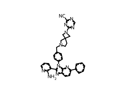 N#Cc1ncnc(N2CC3(CCN(Cc4ccc(-n5c(-c6cccnc6N)nc6ccc(-c7ccccc7)nc65)cc4)C3)C2)n1